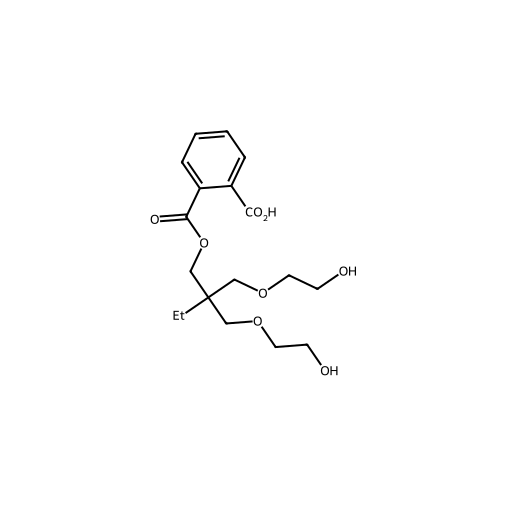 CCC(COCCO)(COCCO)COC(=O)c1ccccc1C(=O)O